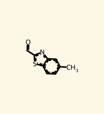 Cc1ccc2sc(C=O)nc2c1